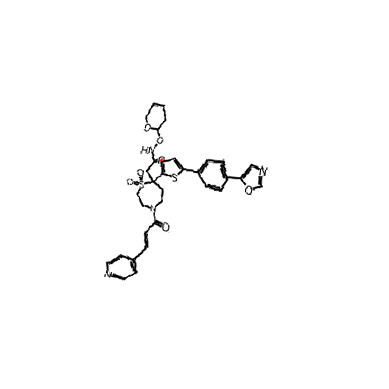 O=C(CC1(c2ccc(-c3ccc(-c4cnco4)cc3)s2)CCN(C(=O)C=Cc2ccncc2)CCS1(=O)=O)NOC1CCCCO1